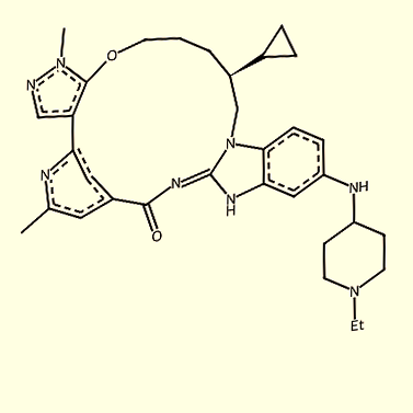 CCN1CCC(Nc2ccc3c(c2)N/C2=N\C(=O)c4cc(C)nc(c4)-c4cnn(C)c4OCCC[C@@H](C4CC4)CN23)CC1